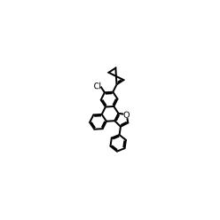 Clc1cc2c3ccccc3c3c(-c4ccccc4)coc3c2cc1C1=CC12CC2